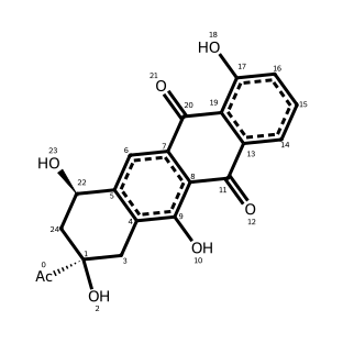 CC(=O)[C@@]1(O)Cc2c(cc3c(c2O)C(=O)c2cccc(O)c2C3=O)[C@H](O)C1